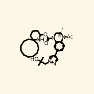 CC(=O)N1c2ccc(-c3cnn(CC(C)(C)O)c3)cc2N(C(=O)OC2CCCC3(CCCCCCCCCC3)N2)C[C@@H]1C